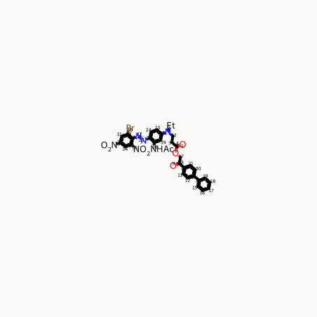 CCN(CCC(=O)OCC(=O)c1ccc(-c2ccccc2)cc1)c1ccc(/N=N/c2c(Br)cc([N+](=O)[O-])cc2[N+](=O)[O-])c(NC(C)=O)c1